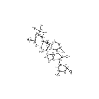 N#Cc1ccc2c(c1)[C@@]1(C2)C(=O)N(c2cc(Cl)cc(Cl)c2)c2ncc(C(=O)N[C@H](CC(N)=O)C(=O)N3CC(F)(F)C3)n21